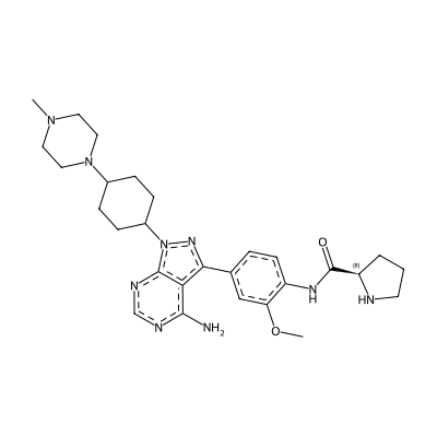 COc1cc(-c2nn(C3CCC(N4CCN(C)CC4)CC3)c3ncnc(N)c23)ccc1NC(=O)[C@H]1CCCN1